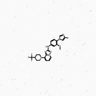 COc1cc(Nc2nc3c(N4CCC(C(F)(F)F)CC4)cccn3n2)ccc1-n1cnc(C)c1